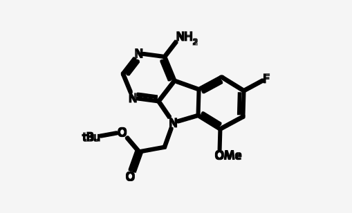 COc1cc(F)cc2c3c(N)ncnc3n(CC(=O)OC(C)(C)C)c12